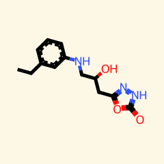 CCc1cccc(NCC(O)Cc2n[nH]c(=O)o2)c1